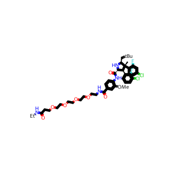 CCNC(=O)CCOCCOCCOCCOCCNC(=O)c1ccc(NC(=O)[C@@H]2N[C@@H](CC(C)(C)C)[C@](C)(c3ccc(Cl)cc3F)[C@H]2c2cccc(Cl)c2F)c(OC)c1